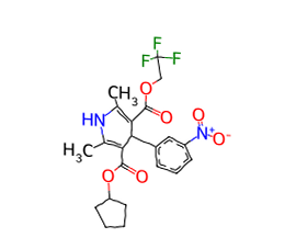 CC1=C(C(=O)OCC(F)(F)F)C(c2cccc([N+](=O)[O-])c2)C(C(=O)OC2CCCC2)=C(C)N1